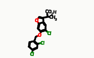 CC(C(=O)O)c1coc2cc(OCc3ccc(Cl)cc3Cl)c(Cl)cc12